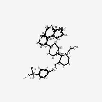 O=CN1CCCC(COc2ccc(C(F)(F)F)cc2)C1N1CCC(c2ccnc3cnc4[nH]ccc4c23)CC1